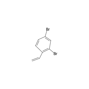 C=Cc1ccc(Br)cc1Br